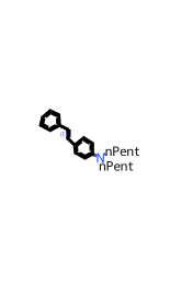 CCCCCN(CCCCC)c1ccc(/C=C/c2ccccc2)cc1